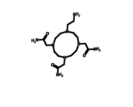 NCCN1CCN(CC(N)=O)CCN(CC(N)=O)CCN(CC(N)=O)CC1